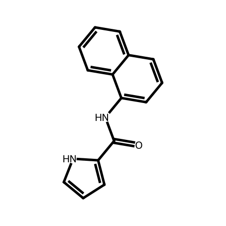 O=C(Nc1cccc2ccccc12)c1ccc[nH]1